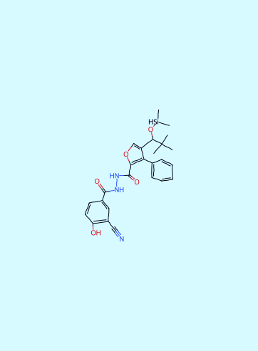 C[SiH](C)OC(c1coc(C(=O)NNC(=O)c2ccc(O)c(C#N)c2)c1-c1ccccc1)C(C)(C)C